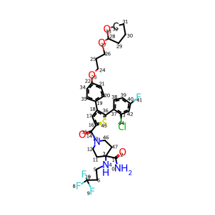 NC(=O)C1(NCCC(F)(F)F)CCN(C(=O)c2cc(-c3ccc(OCCCOC4CCCCO4)cc3)c(-c3ccc(F)cc3Cl)s2)CC1